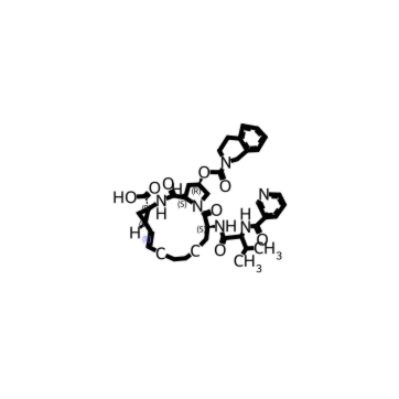 CC(C)C(NC(=O)c1cccnc1)C(=O)N[C@H]1CCCCC/C=C/[C@@H]2C[C@@]2(C(=O)O)NC(=O)[C@@H]2C[C@@H](OC(=O)N3CCc4ccccc4C3)CN2C1=O